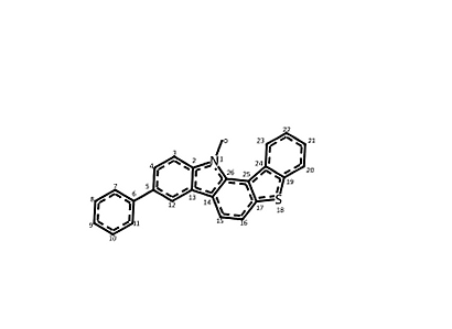 Cn1c2ccc(-c3ccccc3)cc2c2ccc3sc4ccccc4c3c21